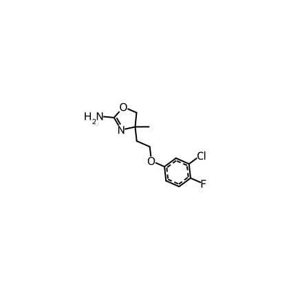 CC1(CCOc2ccc(F)c(Cl)c2)COC(N)=N1